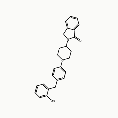 O=C1c2ccccc2CN1C1CCN(c2ccc(Cc3ccccc3O)cc2)CC1